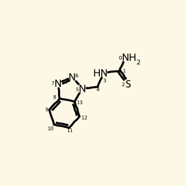 NC(=S)NCn1nnc2ccccc21